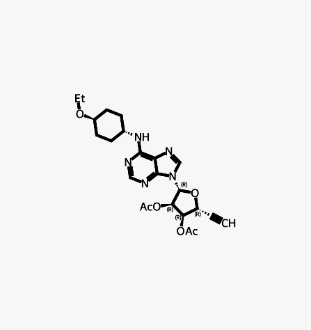 C#C[C@H]1O[C@@H](n2cnc3c(N[C@H]4CC[C@H](OCC)CC4)ncnc32)[C@H](OC(C)=O)[C@@H]1OC(C)=O